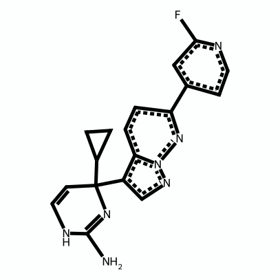 NC1=NC(c2cnn3nc(-c4ccnc(F)c4)ccc23)(C2CC2)C=CN1